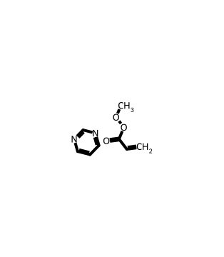 C=CC(=O)OOC.c1cncnc1